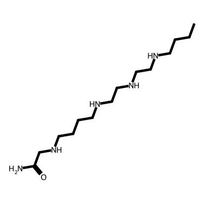 CCCCNCCNCCNCCCCNCC(N)=O